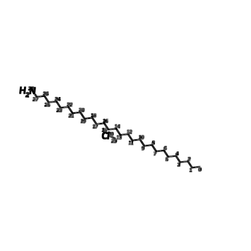 CCCCCCCCCCCCCCCCCCCCCCCCCCCCN.CCl